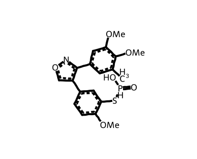 COc1ccc(-c2conc2-c2cc(C)c(OC)c(OC)c2)cc1S[PH](=O)O